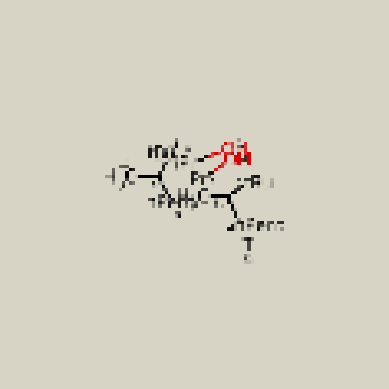 CC(C)O.CC(C)O.CCCCCC(C)C(C)(C)C.CCCCCC(C)C(C)(C)C.[Ti]